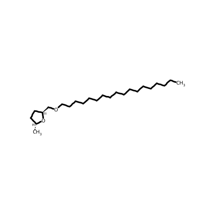 CCCCCCCCCCCCCCCCCCOC[C@@H]1CC[C@@H](C)O1